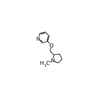 CN1CCCC1COc1cccnc1